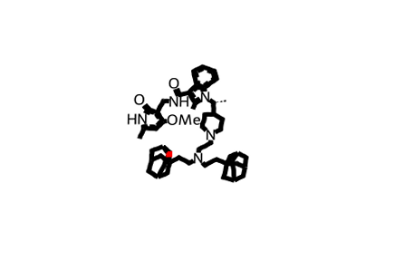 COc1cc(C)[nH]c(=O)c1CNC(=O)c1c(C)n([C@H](C)C2CCN(CCN(CCC34CC5CC(CC(C5)C3)C4)CCC34CC5CC(CC(C5)C3)C4)CC2)c2ccccc12